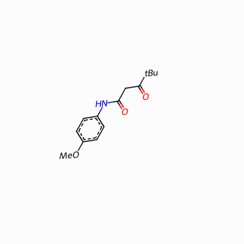 COc1ccc(NC(=O)CC(=O)C(C)(C)C)cc1